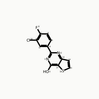 Oc1nc(-c2ccc(F)c(Cl)c2)nc2ccsc12